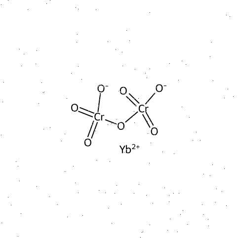 [O]=[Cr](=[O])([O-])[O][Cr](=[O])(=[O])[O-].[Yb+2]